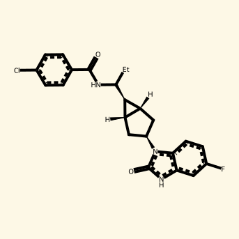 CCC(NC(=O)c1ccc(Cl)cc1)[C@H]1[C@@H]2C[C@@H](n3c(=O)[nH]c4cc(F)ccc43)C[C@@H]21